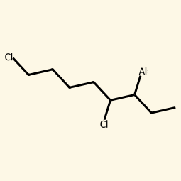 CC[CH]([Al])C(Cl)CCCCCl